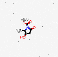 CC1C(O)CC(=O)N1C(=O)OC(C)(C)C